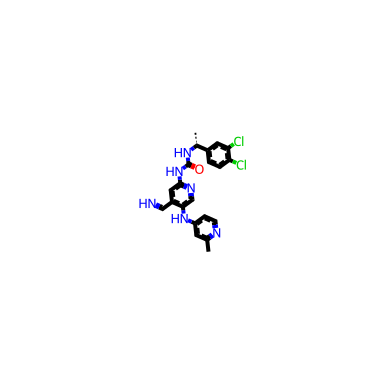 Cc1cc(Nc2cnc(NC(=O)N[C@H](C)c3ccc(Cl)c(Cl)c3)cc2C=N)ccn1